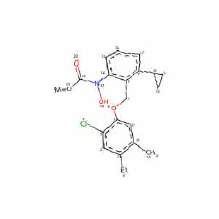 CCc1cc(Cl)c(OCc2c(C3CC3)cccc2N(O)C(=O)OC)cc1C